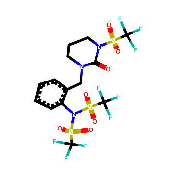 O=C1N(Cc2ccccc2N(S(=O)(=O)C(F)(F)F)S(=O)(=O)C(F)(F)F)CCCN1S(=O)(=O)C(F)(F)F